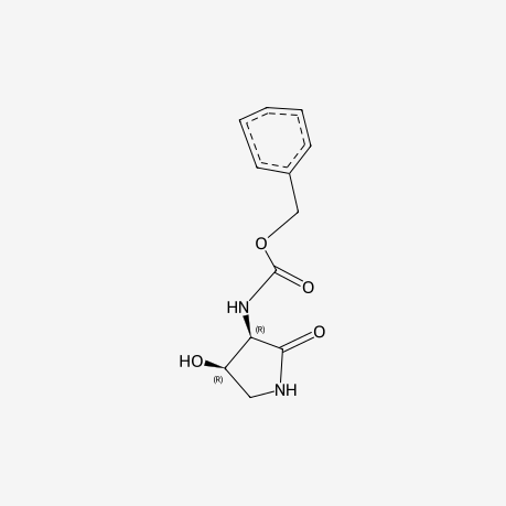 O=C(N[C@H]1C(=O)NC[C@H]1O)OCc1ccccc1